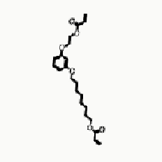 C=CC(=O)OCCCCCCCCOc1cccc(OCCOC(=O)C=C)c1